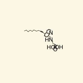 CCCCCCCCC#Cc1ccc(CNCCCP(=O)(O)O)c2ncccc12